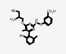 Cc1cccc(C(C)C)c1-c1nc(NSc2cccc(C(=O)O)c2)nc(OCC(N)CC(C)(C)C)c1C